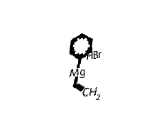 Br.C=[CH][Mg][c]1ccccc1